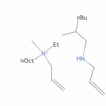 C=CCNCC(C)CCCC.C=CC[N+](C)(CC)CCCCCCCC